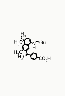 C=C(c1ccc(C(=O)O)cc1)c1cc2c(cc1C)C(C)(C)CC=C2NCC(C)CC